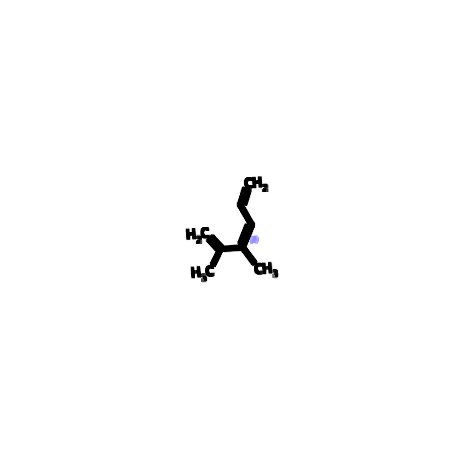 C=C/C=C(/C)C(=C)C